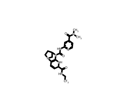 CN(C)C(=O)c1ccnc(NC(=O)N2C3=C(C=CC(C(=O)NCC(F)(F)F)N3)N3CCC2C3)c1